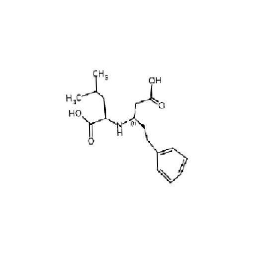 CC(C)CC(N[C@H](CCc1ccccc1)CC(=O)O)C(=O)O